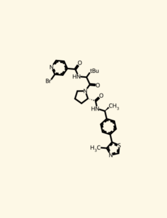 Cc1ncsc1-c1ccc([C@H](C)NC(=O)[C@@H]2CCCN2C(=O)C(NC(=O)c2ccnc(Br)c2)C(C)(C)C)cc1